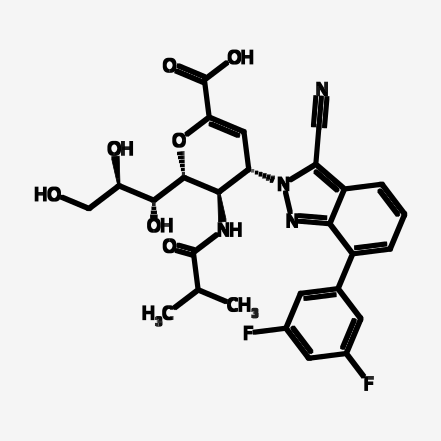 CC(C)C(=O)N[C@H]1[C@H]([C@H](O)[C@H](O)CO)OC(C(=O)O)=C[C@@H]1n1nc2c(-c3cc(F)cc(F)c3)cccc2c1C#N